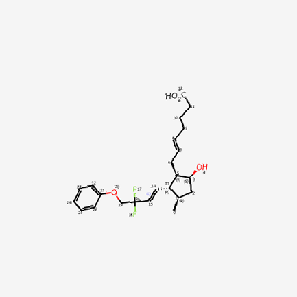 C[C@@H]1C[C@H](O)[C@H](CC=CCCCC(=O)O)[C@H]1/C=C/C(F)(F)COc1ccccc1